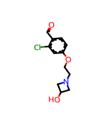 O=Cc1ccc(OCCN2CC(O)C2)cc1Cl